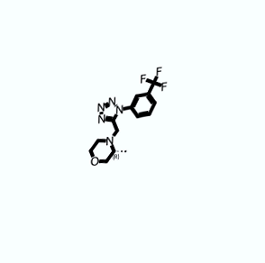 C[C@@H]1COCCN1Cc1nnnn1-c1cccc(C(F)(F)F)c1